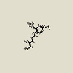 CCCCNc1nc(N)ncc1OCCCC(=P)CC(C)C